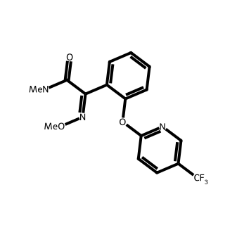 CNC(=O)C(=NOC)c1ccccc1Oc1ccc(C(F)(F)F)cn1